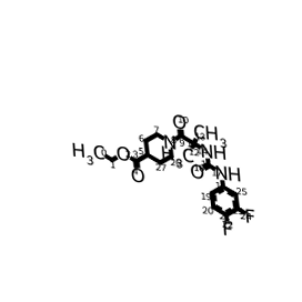 CCOC(=O)C1CCN(C(=O)C(C)(C)NC(=O)Nc2ccc(F)c(F)c2)CC1